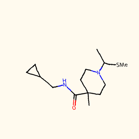 CSC(C)N1CCC(C)(C(=O)NCC2CC2)CC1